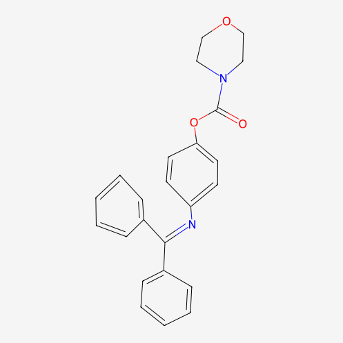 O=C(Oc1ccc(N=C(c2ccccc2)c2ccccc2)cc1)N1CCOCC1